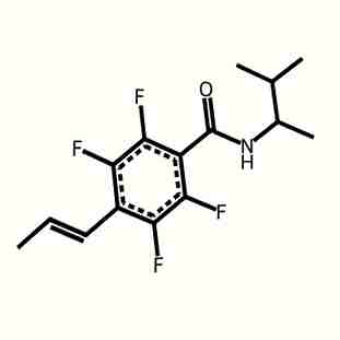 CC=Cc1c(F)c(F)c(C(=O)NC(C)C(C)C)c(F)c1F